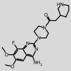 COc1cc2c(N)nc(N3CCN(C(=O)CC4CCCNC4)CC3)nc2c(F)c1OC